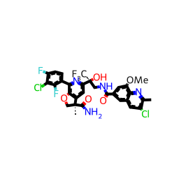 COc1cc(C(=O)NC[C@](O)(c2cc3c(c(-c4ccc(F)c(Cl)c4F)n2)OC[C@]3(C)C(N)=O)C(F)(F)F)cc2cc(Cl)c(C)nc12